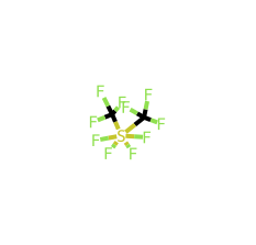 FC(F)(F)S(F)(F)(F)(F)C(F)(F)F